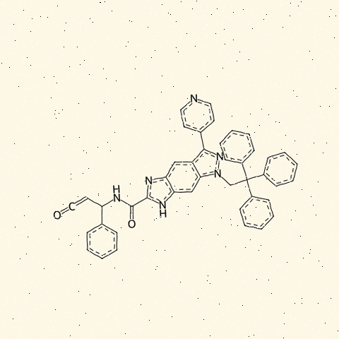 O=C=CC(NC(=O)c1nc2cc3c(-c4ccncc4)nn(CC(c4ccccc4)(c4ccccc4)c4ccccc4)c3cc2[nH]1)c1ccccc1